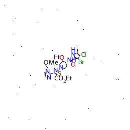 CCOC(=O)c1sc(N2CC[C@@H](NC(=O)c3[nH]c(C)c(Cl)c3Br)[C@@H](OCC)C2)nc1-c1nccn1CCOC